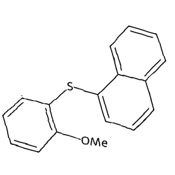 COc1ccc[c]c1Sc1cccc2ccccc12